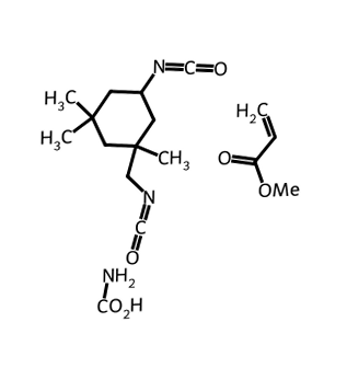 C=CC(=O)OC.CC1(C)CC(N=C=O)CC(C)(CN=C=O)C1.NC(=O)O